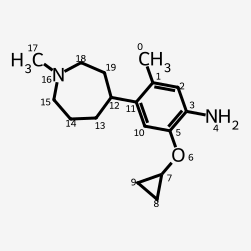 Cc1cc(N)c(OC2CC2)cc1C1CCCN(C)CC1